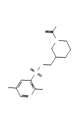 Nc1ncc(Br)cc1S(=O)(=O)NCC1CCCN(C(=O)O)C1